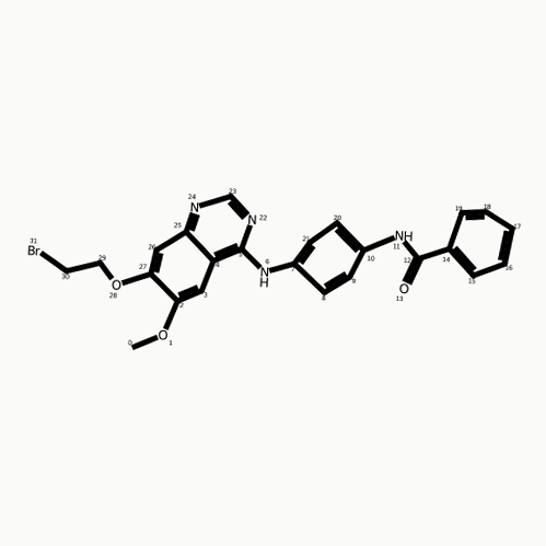 COc1cc2c(Nc3ccc(NC(=O)c4ccccc4)cc3)ncnc2cc1OCCBr